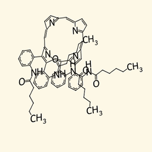 CCCCCC(=O)Nc1ccccc1C1=CC2=CC3=NC(=CC4=NC(=CC5=NC(=C(c6ccccc6NC(=O)CCCCC)C1=N2)C(c1ccccc1NC(=O)CCCCC)=C5c1ccccc1NC(=O)CCCCC)C=C4)C=C3